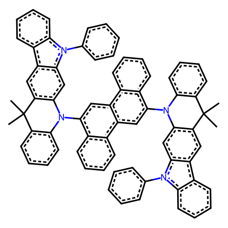 CC1(C)c2ccccc2N(c2cc3c4ccccc4c(N4c5ccccc5C(C)(C)c5cc6c7ccccc7n(-c7ccccc7)c6cc54)cc3c3ccccc23)c2cc3c(cc21)c1ccccc1n3-c1ccccc1